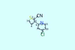 N#Cc1sccc1-c1cc(Cl)ccn1